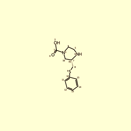 O=C(O)N1CCN[C@H](CSc2ccccc2)C1